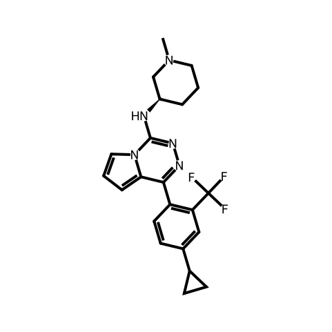 CN1CCC[C@@H](Nc2nnc(-c3ccc(C4CC4)cc3C(F)(F)F)c3cccn23)C1